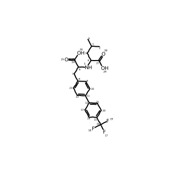 CC(C)CC(NC(Cc1ccc(-c2ccc(C(F)(F)F)cc2)cc1)C(=O)O)C(=O)O